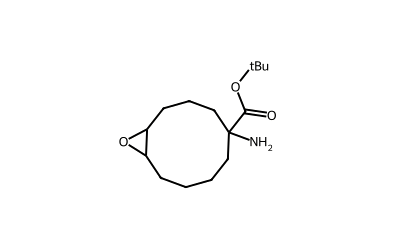 CC(C)(C)OC(=O)C1(N)CCCCC2OC2CCC1